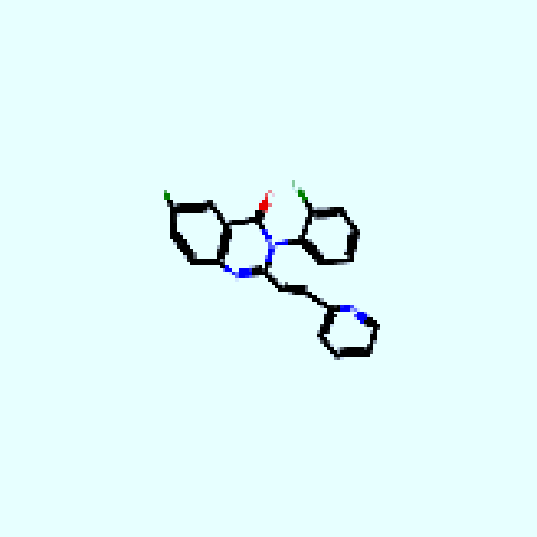 O=c1c2cc(F)ccc2nc(/C=C/c2ccccn2)n1-c1ccccc1F